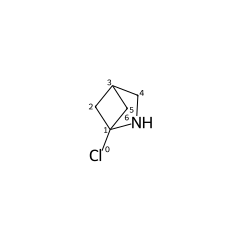 ClC12CC(CN1)C2